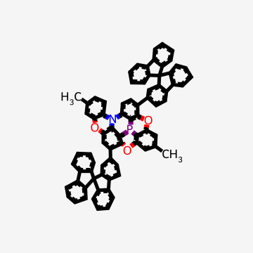 Cc1ccc2c(c1)oc1cc(-c3ccc4c(c3)C3(c5ccccc5-c5ccccc53)c3ccccc3-4)c3oc4cc(C)cc5oc6c(-c7ccc8c(c7)C7(c9ccccc9-c9ccccc97)c7ccccc7-8)ccc7c6p(c54)c3c1n27